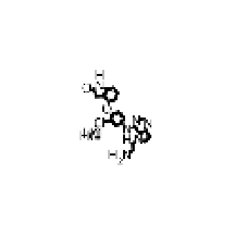 Cl.Cl.NCCn1ccc2ncnc(Nc3ccc(Oc4cccc5c4CC(=O)N5)c(Cl)c3)c21